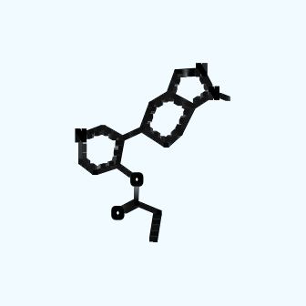 C=CC(=O)Oc1ccncc1-c1ccc2c(cnn2C)c1